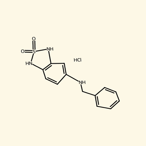 Cl.O=S1(=O)Nc2ccc(NCc3ccccc3)cc2N1